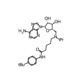 CC(C)N(CCCCC(=O)Nc1ccc(C(C)(C)C)cc1)C[C@H]1O[C@@H](n2cnc3c(N)ncnc32)[C@H](O)[C@H]1O